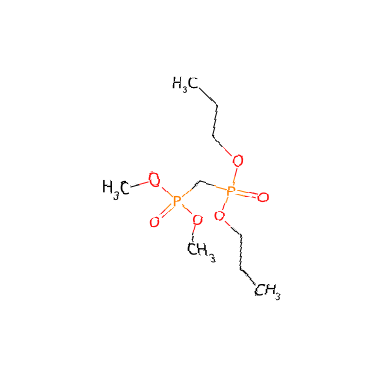 CCCOP(=O)(CP(=O)(OC)OC)OCCC